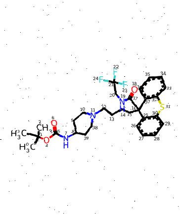 CC(C)(C)OC(=O)NC1CCN(CCCCC2(C(=O)NCC(F)(F)F)c3ccccc3Sc3ccccc32)CC1